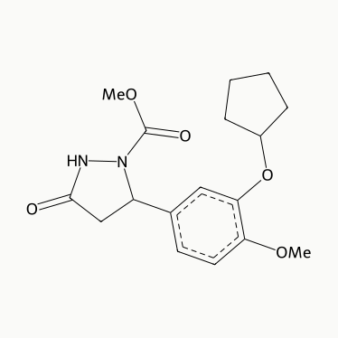 COC(=O)N1NC(=O)CC1c1ccc(OC)c(OC2CCCC2)c1